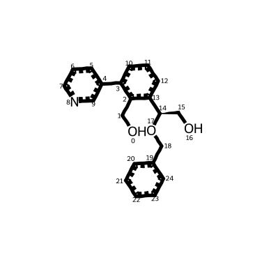 OCc1c(-c2cccnc2)cccc1[C@@H](CO)OCc1ccccc1